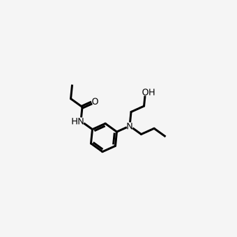 CCCN(CCO)c1cccc(NC(=O)CC)c1